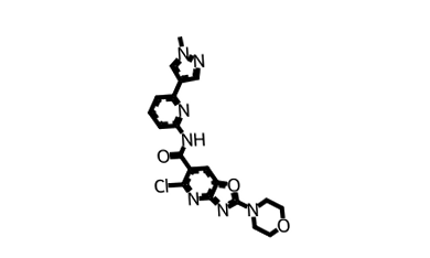 Cn1cc(-c2cccc(NC(=O)c3cc4oc(N5CCOCC5)nc4nc3Cl)n2)cn1